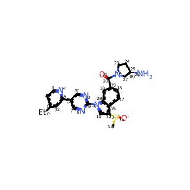 CCc1ccnc(-c2cnc(-n3cc([S+](C)[O-])c4ccc(C(=O)N5CC[C@@H](N)C5)cc43)nc2)c1